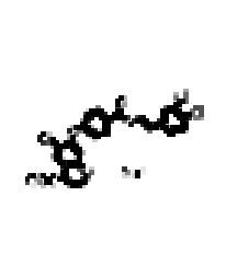 O=C(NCCc1ccc(Cl)c(Cl)c1)c1ccc(Oc2cc3c(cc2Cl)C(C(=O)[O-])CCO3)cc1.[Na+]